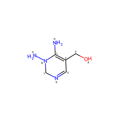 NC1=C(CO)C=NCN1N